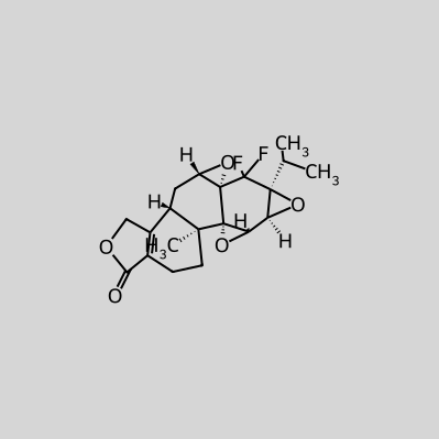 CC(C)[C@]12O[C@H]1[C@@H]1O[C@@]13[C@@]1(C)CCC4=C(COC4=O)[C@@H]1C[C@@H]1O[C@@]13C2(F)F